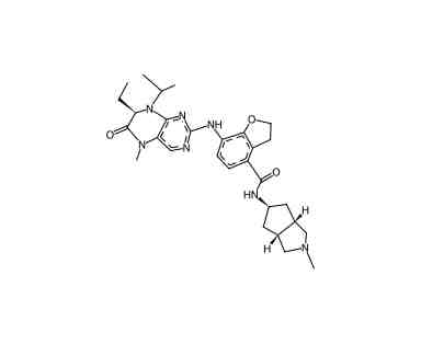 CC[C@@H]1C(=O)N(C)c2cnc(Nc3ccc(C(=O)N[C@H]4C[C@@H]5CN(C)C[C@@H]5C4)c4c3OCC4)nc2N1C(C)C